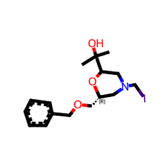 CC(C)(O)C1CN(CI)C[C@H](COCc2ccccc2)O1